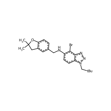 CC(C)(C)Cn1nnc2c(Br)c(NCc3ccc4c(c3)CC(C)(C)O4)ccc21